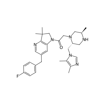 Cc1ncn(C[C@H]2CN[C@H](C)CN2CC(=O)N2CC(C)(C)c3ncc(Cc4ccc(F)cc4)cc32)c1C